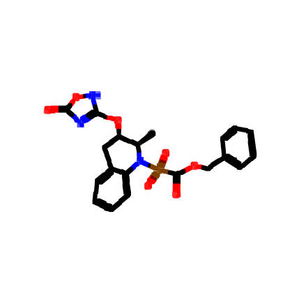 C[C@@H]1[C@H](Oc2nc(=O)o[nH]2)Cc2ccccc2N1S(=O)(=O)C(=O)OCc1ccccc1